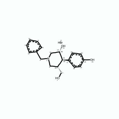 Br.OC[C@@H]1CN(Cc2ccccc2)C[C@H](O)[C@H]1c1ccc(O)cc1